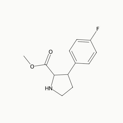 COC(=O)C1NCCC1c1ccc(F)cc1